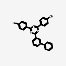 N#Cc1ccc(-c2nc(-c3ccc(Br)cc3)nc(-c3cccc(-c4ccccc4)c3)n2)cc1